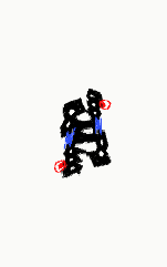 O=C1c2cc3c(cc2CC12CCCC2)c1c2c4c5c(ccc4n4c6cc7c(cc6c(c6c8c9c(ccc8n3c16)C1CC3CC6CC9C36C1)c24)CC1(CCCC1)C7=O)C1CC2CC3CC5C23C1